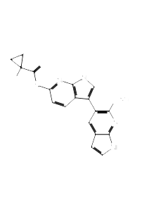 COc1nc2[nH]ccc2cc1-c1c[nH]c2nc(NC(=O)C3(F)CC3)ccc12